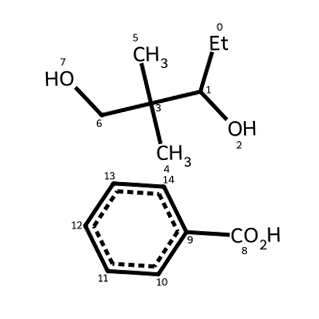 CCC(O)C(C)(C)CO.O=C(O)c1ccccc1